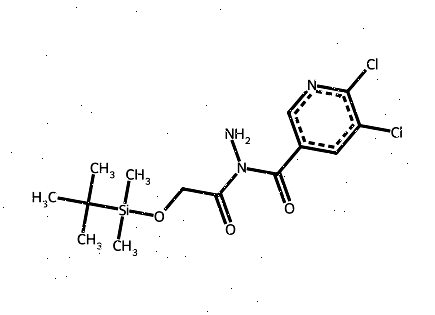 CC(C)(C)[Si](C)(C)OCC(=O)N(N)C(=O)c1cnc(Cl)c(Cl)c1